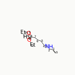 C=CCNCCCC[SiH](OCC)OCC